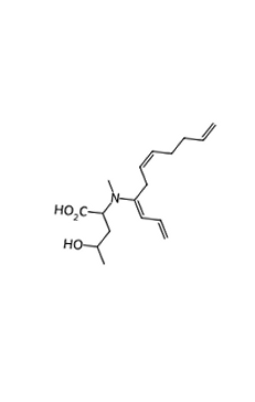 C=C/C=C(\C/C=C\CCC=C)N(C)C(CC(C)O)C(=O)O